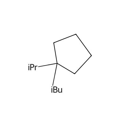 CCC(C)C1(C(C)C)CCCC1